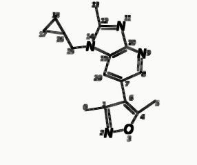 Cc1noc(C)c1-c1cnc2nc(C)n(CC3CC3)c2c1